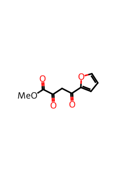 COC(=O)C(=O)CC(=O)c1ccco1